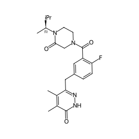 Cc1c(Cc2ccc(F)c(C(=O)N3CCN([C@@H](C)C(C)C)C(=O)C3)c2)n[nH]c(=O)c1C